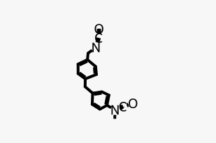 C[N+](=C=O)c1ccc(Cc2ccc(CN=C=O)cc2)cc1